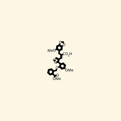 COC(=O)c1ccccc1COc1cc(OC)ccc1-c1nocc1/C=C(\Cc1cc2c(cc1OC)OCO2)C(=O)O